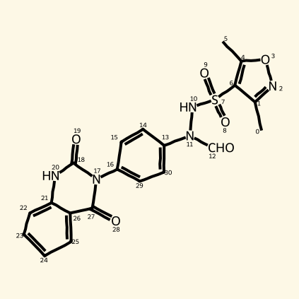 Cc1noc(C)c1S(=O)(=O)NN(C=O)c1ccc(-n2c(=O)[nH]c3ccccc3c2=O)cc1